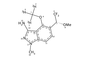 [2H]C([2H])([2H])Oc1c([C@@H](OC)C(F)(F)F)ccc2c1c(N)nn2C